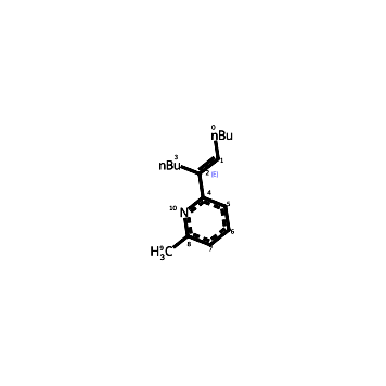 CCCC/C=C(\CCCC)c1cccc(C)n1